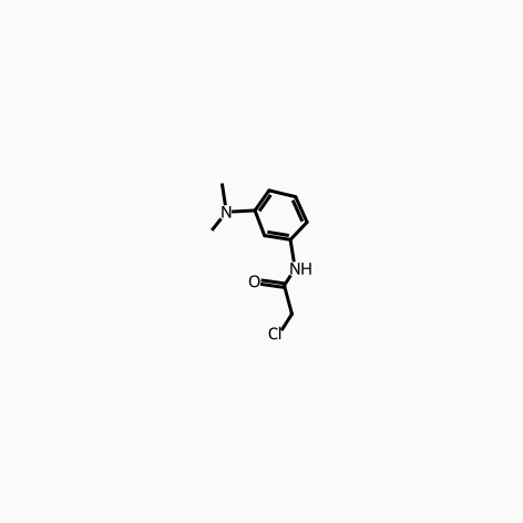 CN(C)c1cccc(NC(=O)CCl)c1